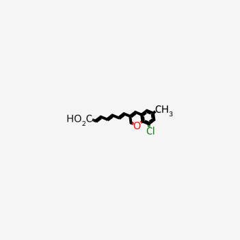 Cc1cc(Cl)c2c(c1)C=C(/C=C/C=C/C=C/C(=O)O)CO2